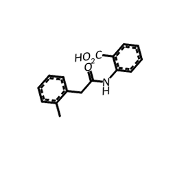 Cc1ccccc1CC(=O)Nc1ccccc1C(=O)O